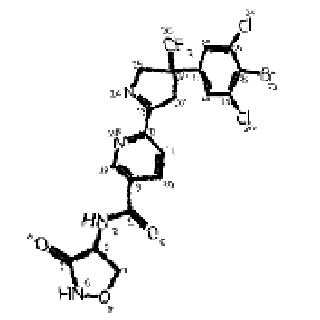 O=C(NC1CONC1=O)c1ccc(C2=NCC(c3cc(Cl)c(Br)c(Cl)c3)(C(F)(F)F)C2)nc1